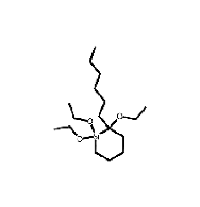 CCCCCCC1(OCC)CCCC[Si]1(OCC)OCC